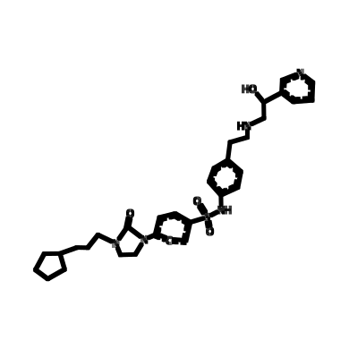 O=C1N(CCCC2CCCC2)CCN1c1ccc(S(=O)(=O)Nc2ccc(CCNCC(O)c3cccnc3)cc2)cc1